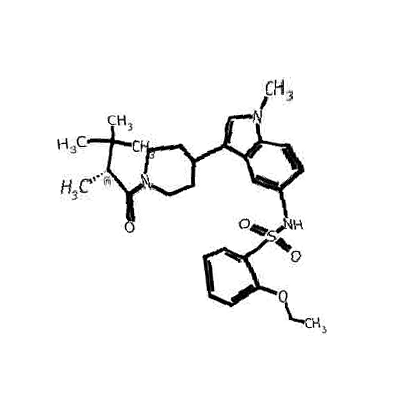 CCOc1ccccc1S(=O)(=O)Nc1ccc2c(c1)c(C1CCN(C(=O)[C@H](C)C(C)(C)C)CC1)cn2C